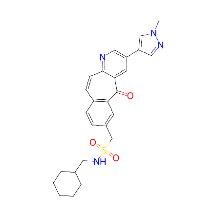 Cn1cc(-c2cnc3ccc4ccc(CS(=O)(=O)NCC5CCCCC5)cc4c(=O)c3c2)cn1